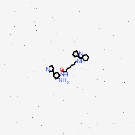 Nc1ccc(-c2cccnc2)cc1NC(=O)CCCCCCNc1c2c(nc3ccccc13)CCCC2